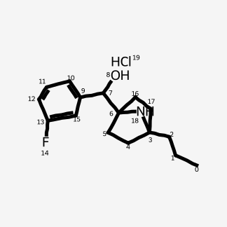 CCCC12CCC(C(O)c3cccc(F)c3)(CC1)N2.Cl